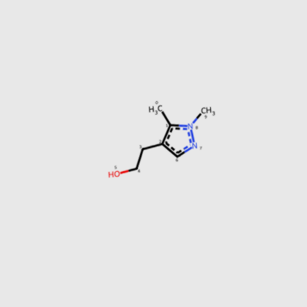 Cc1c(CCO)[c]nn1C